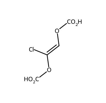 O=C(O)O/C=C(\Cl)OC(=O)O